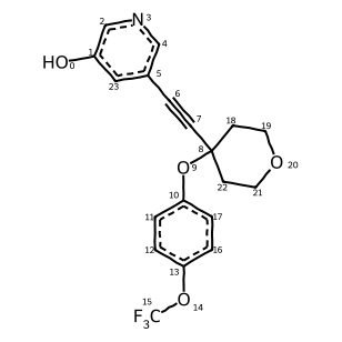 Oc1cncc(C#CC2(Oc3ccc(OC(F)(F)F)cc3)CCOCC2)c1